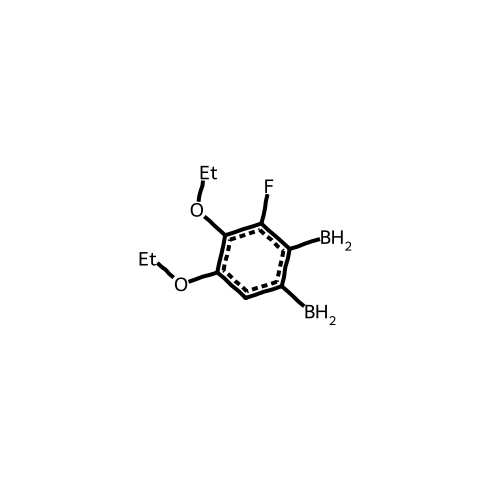 Bc1cc(OCC)c(OCC)c(F)c1B